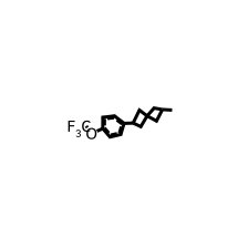 CC1CC2(C1)CC(c1ccc(OC(F)(F)F)cc1)C2